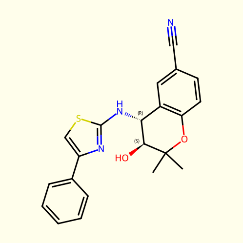 CC1(C)Oc2ccc(C#N)cc2[C@@H](Nc2nc(-c3ccccc3)cs2)[C@@H]1O